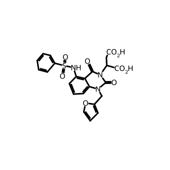 O=C(O)CC(C(=O)O)n1c(=O)c2c(NS(=O)(=O)c3ccccc3)cccc2n(Cc2ccco2)c1=O